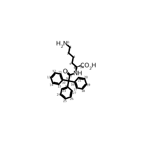 NCCCC[C@H](NC(=O)C(c1ccccc1)(c1ccccc1)c1ccccc1)C(=O)O